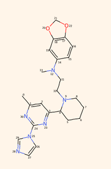 Cc1cc(C2CCCCN2CCN(C)c2ccc3c(c2)OCO3)nc(-n2ccnc2)n1